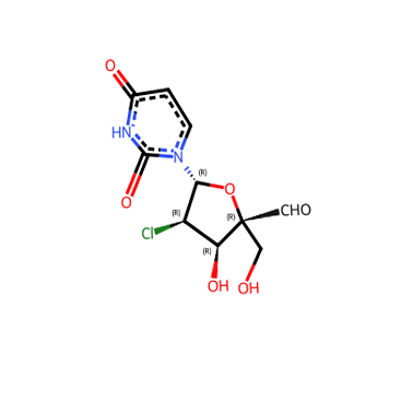 O=C[C@]1(CO)O[C@@H](n2ccc(=O)[nH]c2=O)[C@H](Cl)[C@@H]1O